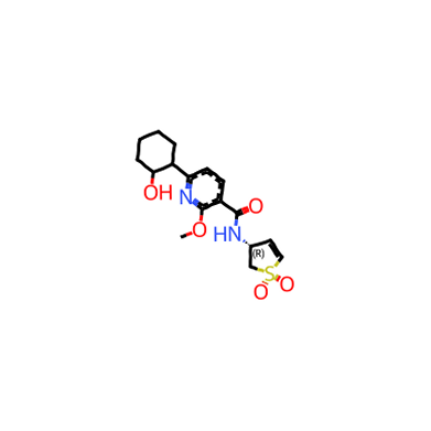 COc1nc(C2CCCCC2O)ccc1C(=O)N[C@@H]1C=CS(=O)(=O)C1